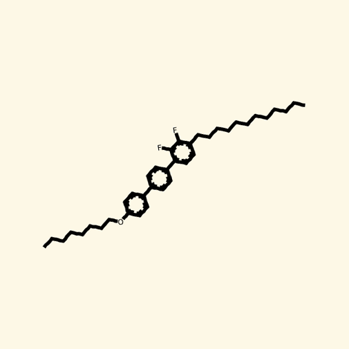 CCCCCCCCCCCCc1ccc(-c2ccc(-c3ccc(OCCCCCCCC)cc3)cc2)c(F)c1F